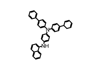 C1=CCC(c2ccc(N(c3ccc(Nc4cccc5ccccc45)cc3)c3ccc(-c4ccccc4)cc3)cc2)C=C1